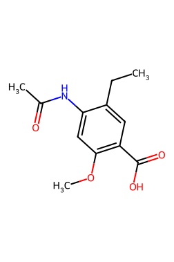 CCc1cc(C(=O)O)c(OC)cc1NC(C)=O